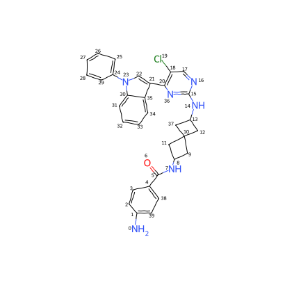 Nc1ccc(C(=O)NC2CC3(C2)CC(Nc2ncc(Cl)c(-c4cn(-c5ccccc5)c5ccccc45)n2)C3)cc1